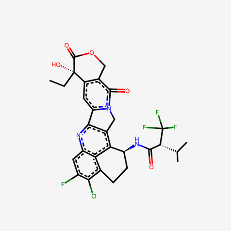 CC[C@@]1(O)C(=O)OCc2c1cc1n(c2=O)Cc2c-1nc1cc(F)c(Cl)c3c1c2[C@@H](NC(=O)[C@@H](C(C)C)C(F)(F)F)CC3